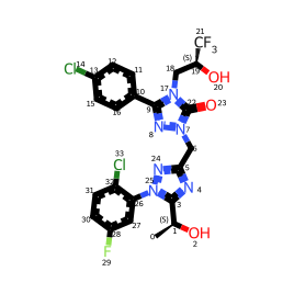 C[C@H](O)c1nc(Cn2nc(-c3ccc(Cl)cc3)n(C[C@H](O)C(F)(F)F)c2=O)nn1-c1cc(F)ccc1Cl